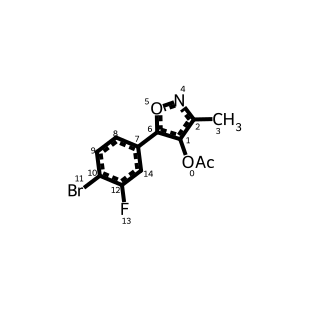 CC(=O)Oc1c(C)noc1-c1ccc(Br)c(F)c1